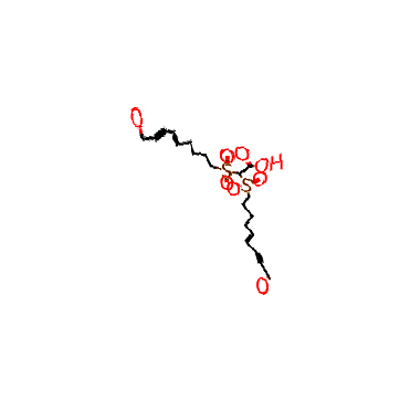 O=CC#CC=CCCCCS(=O)(=O)C(C(=O)O)S(=O)(=O)CCCCC=CC#CC=O